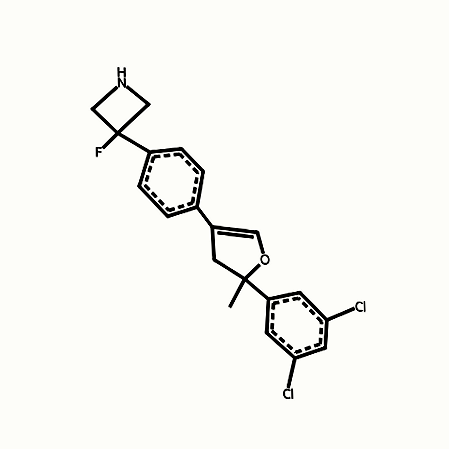 CC1(c2cc(Cl)cc(Cl)c2)CC(c2ccc(C3(F)CNC3)cc2)=CO1